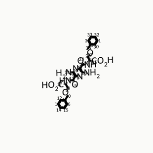 Nc1nc(C(=O)N[C@@H](COCc2ccccc2)C(=O)O)c(N)nc1C(=O)NC(COCc1ccccc1)C(=O)O